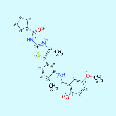 COc1ccc(O)c(CNc2cc(-c3sc(NC(=O)C4CCCC4)nc3C)ccc2C)c1